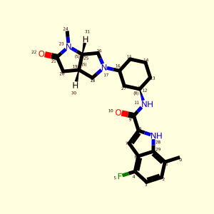 Cc1ccc(F)c2cc(C(=O)N[C@@H]3CCCC(N4C[C@@H]5CC(=O)N(C)[C@@H]5C4)C3)[nH]c12